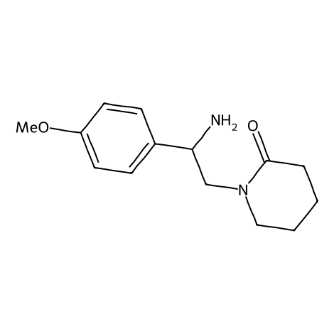 COc1ccc(C(N)CN2CCCCC2=O)cc1